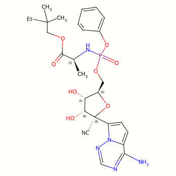 CCC(C)(C)COC(=O)[C@H](C)NP(=O)(OC[C@H]1O[C@@](C#N)(c2ccc3c(N)ncnn23)[C@H](O)[C@@H]1O)Oc1ccccc1